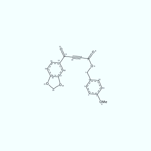 COc1ccc(COC(=O)C#CC(=O)c2ccc3c(c2)OCO3)cc1